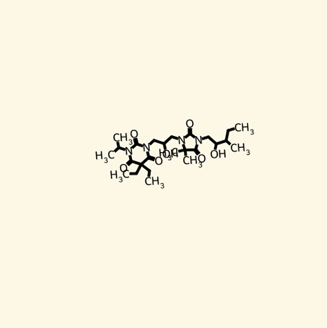 CCC(C)C(O)CN1C(=O)N(CC(O)CN2C(=O)N(C(C)C)C(=O)C(CC)(CC)C2=O)C(C)(C)C1=O